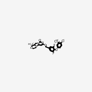 CC12COCCN1c1cc(OCc3cc(F)c(Oc4ccc(Cl)c(C(F)(F)F)c4)c(F)c3)nc(=O)n1C2